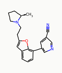 C[C@@H]1CCCN1CCc1cc2cccc(-c3cncc(C#N)c3)c2o1